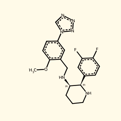 COc1ccc(-n2cnnn2)cc1CN[C@@H]1CCCN[C@@H]1c1ccc(F)c(F)c1